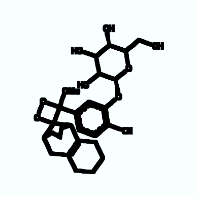 COC1(c2ccc(C#N)c(O[C@@H]3OC(CO)[C@H](O)C(O)C3O)c2)OOC12C1CCCC2C2=C(CCCC2)C1